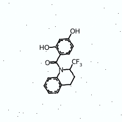 O=C(c1ccc(O)cc1O)N1c2ccccc2CCC1C(F)(F)F